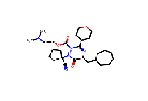 CN(C)CCOC(=O)NC(=NC(CC1CCCCCC1)C(=O)NC1(C#N)CCCC1)C1CCOCC1